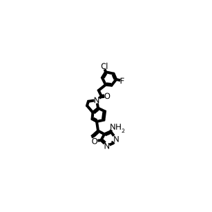 Nc1ncnc2occ(-c3ccc4c(c3)CCN4C(=O)Cc3cc(F)cc(Cl)c3)c12